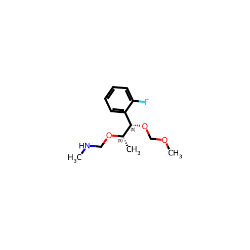 CNCO[C@@H](C)[C@@H](OCOC)c1ccccc1F